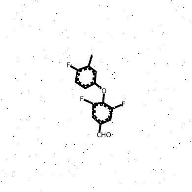 Cc1cc(Oc2c(F)cc(C=O)cc2F)ccc1F